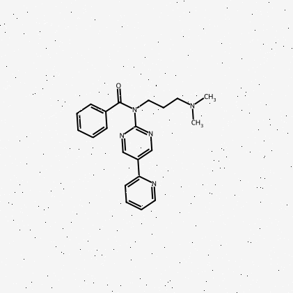 CN(C)CCCN(C(=O)c1ccccc1)c1ncc(-c2ccccn2)cn1